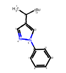 CC(c1cnn(-c2ccccc2)c1)C(C)(C)C